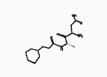 C[C@H](NC(=O)CCC1CCCCC1)C(=O)C(N)CC(=O)O